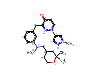 Cn1cc(-n2ccc(=O)c(Cc3cccc(N(CC4CCOC(C)(C)C4)C(=O)O)c3)n2)cn1